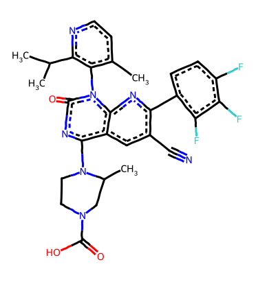 Cc1ccnc(C(C)C)c1-n1c(=O)nc(N2CCN(C(=O)O)CC2C)c2cc(C#N)c(-c3ccc(F)c(F)c3F)nc21